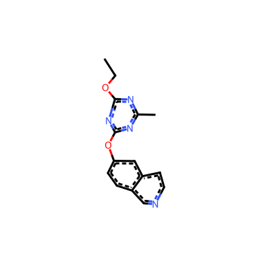 CCOc1nc(C)nc(Oc2ccc3cnccc3c2)n1